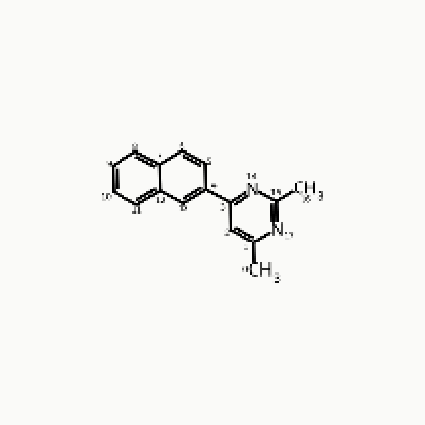 Cc1cc(-c2ccc3ccccc3c2)nc(C)n1